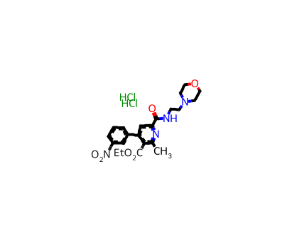 CCOC(=O)c1c(-c2cccc([N+](=O)[O-])c2)cc(C(=O)NCCN2CCOCC2)nc1C.Cl.Cl